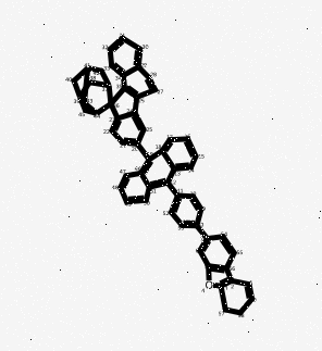 C1=Cc2c(oc3cc(-c4ccc(-c5c6ccccc6c(-c6ccc7c(c6)-c6ccc8ccccc8c6C76C7CC8CC(C7)CC6C8)c6ccccc56)cc4)ccc23)CC1